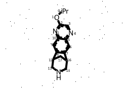 CC(C)Oc1cnc2cc3c(cc2n1)C1CNCC3C1